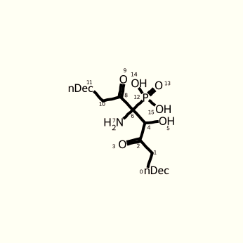 CCCCCCCCCCCC(=O)C(O)C(N)(C(=O)CCCCCCCCCCC)P(=O)(O)O